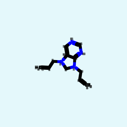 C=CCN1CN(CC=C)c2ncncc21